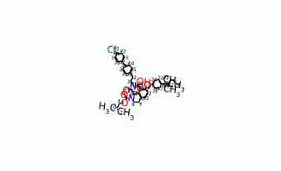 CC(C)COC(=O)N1CCc2ccc(Oc3ccc(C(C)(C)C)cc3)cc2[C@H]1C(=O)N(CCc1ccc(-c2ccc(Cl)cc2)cc1)C(=O)O